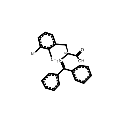 Cc1c(Br)cccc1C[C@H](N=C(c1ccccc1)c1ccccc1)C(=O)O